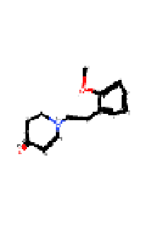 COc1ccccc1CCN1CCC(=O)CC1